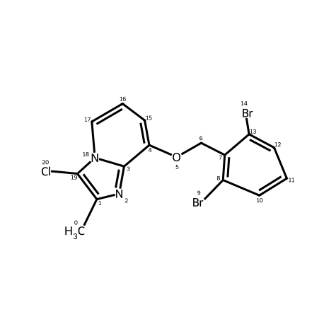 Cc1nc2c(OCc3c(Br)cccc3Br)cccn2c1Cl